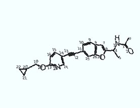 CC(=O)NC(C)c1cc2ccc(C#Cc3ccc(OCC4CC4)nc3)cc2o1